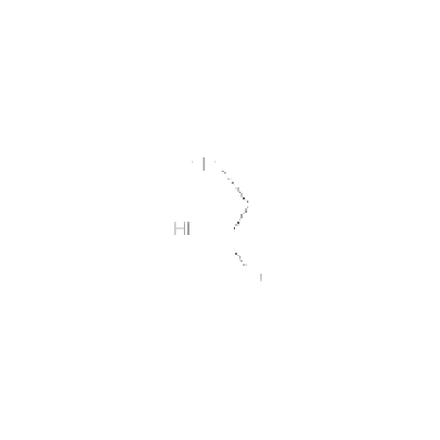 CCCCOCC.[LiH]